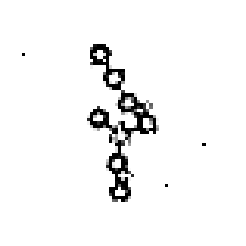 c1ccc(-c2ccc(-c3ccc4c(c3)oc3cccc(-c5nc(-c6ccccc6)nc(-c6ccc7c(c6)sc6ccccc67)n5)c34)cc2)cc1